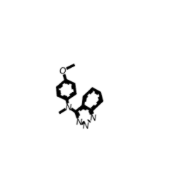 COc1ccc(N(C)c2nnnc3ccccc23)cc1